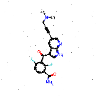 CCN(CC)CC#Cc1cnc2[nH]cc(C(=O)c3c(F)ccc(C(N)=O)c3F)c2c1